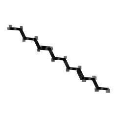 [CH2]CCCC=CCCCC=CCCC